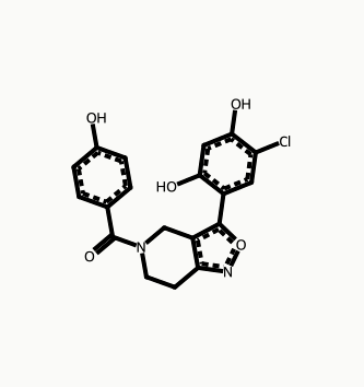 O=C(c1ccc(O)cc1)N1CCc2noc(-c3cc(Cl)c(O)cc3O)c2C1